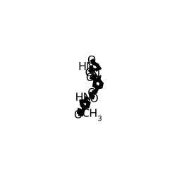 CC1(c2ccc(NC(=O)OCc3ccc4c(c3)C(=O)N(C3CCC(=O)NC3=O)C4)cc2)COC1